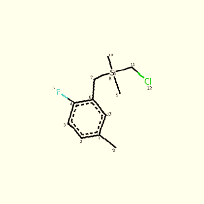 Cc1ccc(F)c(C[Si](C)(C)CCl)c1